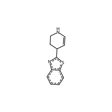 C1=CC(c2nc3ccccc3s2)CCN1